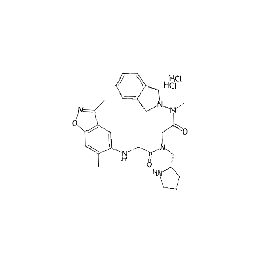 Cc1cc2onc(C)c2cc1NCC(=O)N(CC(=O)N(C)N1Cc2ccccc2C1)C[C@@H]1CCCN1.Cl.Cl